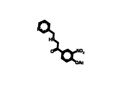 CC(=O)Oc1ccc(C(=O)CNCc2cccnc2)cc1[N+](=O)[O-]